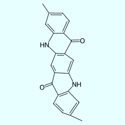 Cc1ccc2c(=O)c3cc4[nH]c5cc(C)ccc5c(=O)c4cc3[nH]c2c1